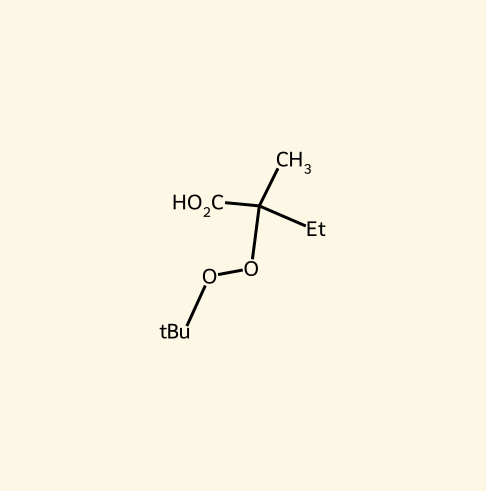 CCC(C)(OOC(C)(C)C)C(=O)O